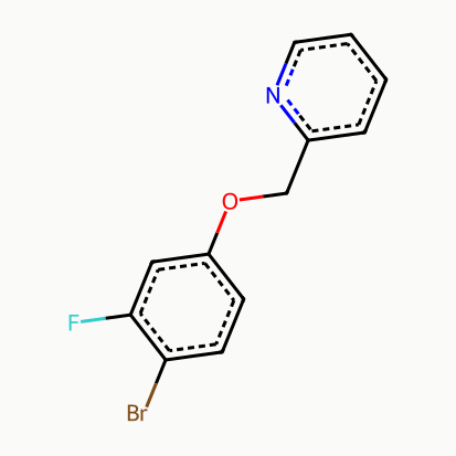 Fc1cc(OCc2ccccn2)ccc1Br